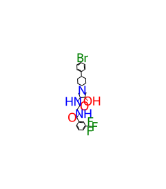 O=C(CNC(=O)c1cccc(C(F)(F)F)c1)NC1CN(C2CCC(c3ccc(Br)cc3)CC2)CC1O